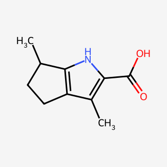 Cc1c(C(=O)O)[nH]c2c1CCC2C